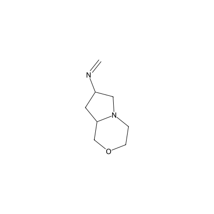 C=NC1CC2COCCN2C1